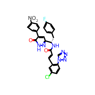 O=C(C=Cc1cc(Cl)ccc1-n1cnnn1)N[C@@H](Cc1ccc(F)cc1)c1cc(-c2ccc([N+](=O)[O-])cc2)c(=O)[nH]n1